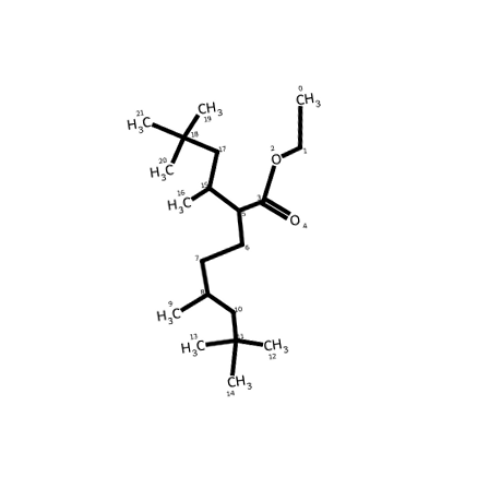 CCOC(=O)C(CCC(C)CC(C)(C)C)C(C)CC(C)(C)C